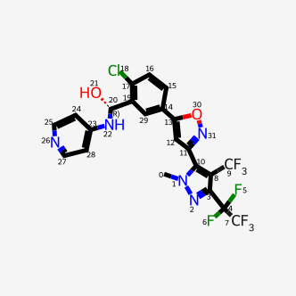 Cn1nc(C(F)(F)C(F)(F)F)c(C(F)(F)F)c1-c1cc(-c2ccc(Cl)c([C@@H](O)Nc3ccncc3)c2)on1